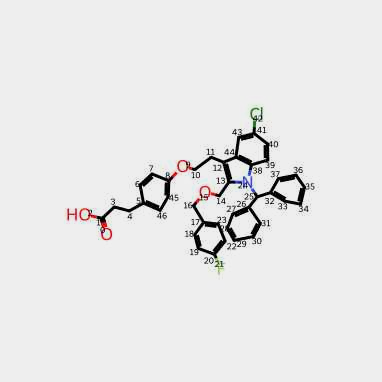 O=C(O)CCc1ccc(OCCc2c(COCc3ccc(F)cc3)n(C(c3ccccc3)c3ccccc3)c3ccc(Cl)cc23)cc1